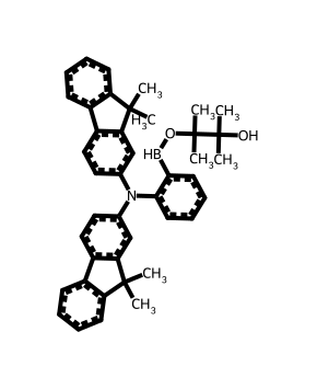 CC1(C)c2ccccc2-c2ccc(N(c3ccc4c(c3)C(C)(C)c3ccccc3-4)c3ccccc3BOC(C)(C)C(C)(C)O)cc21